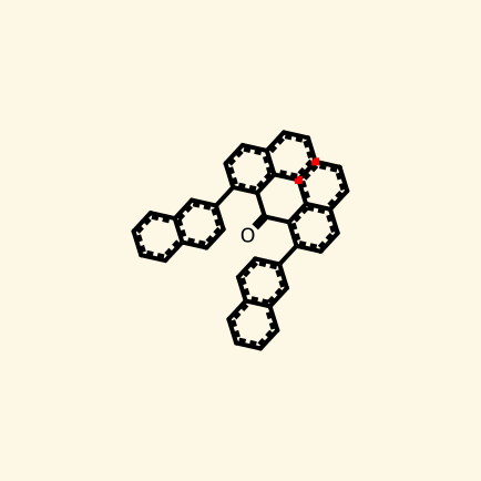 O=C(c1c(-c2ccc3ccccc3c2)ccc2ccccc12)c1c(-c2ccc3ccccc3c2)ccc2ccccc12